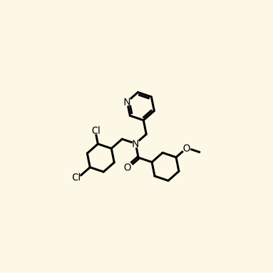 COC1CCCC(C(=O)N(Cc2cccnc2)CC2CCC(Cl)CC2Cl)C1